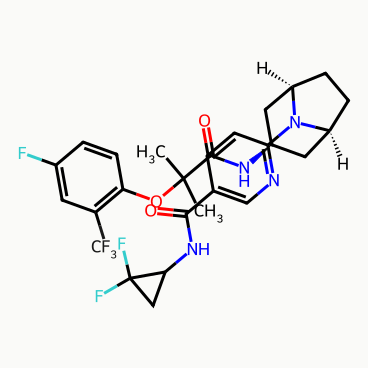 CC(C)(Oc1ccc(F)cc1C(F)(F)F)C(=O)N[C@H]1C[C@H]2CC[C@@H](C1)N2c1ccc(C(=O)NC2CC2(F)F)cn1